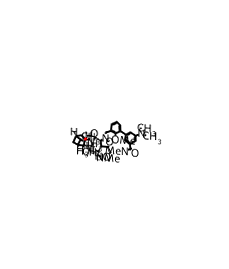 CNC(=O)c1cc(-c2cccc(CN3O[C@@H](CO)[C@@H](C(C)NC)[C@H]3C(=O)N[C@H]3C[C@H]4C[C@@H]([C@@H]3C)C4(C)C)c2OC)cc(N(C)C)c1